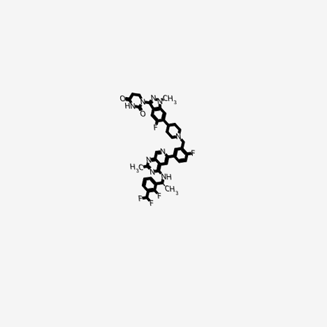 Cc1nc(N[C@H](C)c2cccc(C(F)F)c2F)c2cc(-c3ccc(F)c(CN4CCC(c5cc6c(cc5F)c(N5CCC(=O)NC5=O)nn6C)CC4)c3)ncc2n1